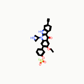 C#Cc1ccc2c(c1)[nH]c1c2c(=O)c2cc(OCC)c(-c3cccc(OS(=O)(=O)F)c3)cc2n1C1CNC1